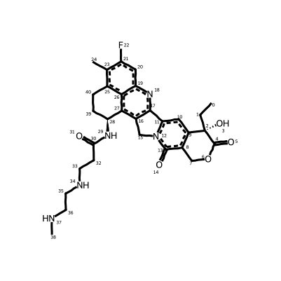 CC[C@@]1(O)C(=O)OCc2c1cc1n(c2=O)Cc2c-1nc1cc(F)c(C)c3c1c2[C@@H](NC(=O)CCNCCNC)CC3